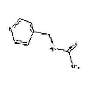 CC(=S)NCc1ccncc1